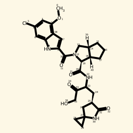 COc1cc(Cl)cc2[nH]c(C(=O)N3C[C@@H]4CCC[C@@H]4[C@H]3C(=O)NC(C[C@@H]3CC4(CC4)NC3=O)C(=O)CO)cc12